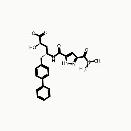 CN(C)C(=O)c1cc(C(=O)N[C@H](Cc2ccc(-c3ccccc3)cc2)C[C@@H](O)C(=O)O)[nH]n1